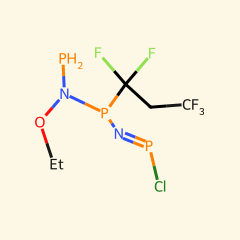 CCON(P)P(N=PCl)C(F)(F)CC(F)(F)F